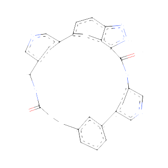 O=C1CCc2cccc(c2)-c2cncc(c2)NC(=O)c2n[nH]c3ccc(cc23)-c2cncc(c2)CN1